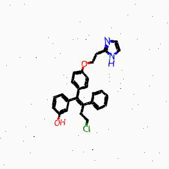 Oc1cccc(/C(=C(\CCCl)c2ccccc2)c2ccc(OCCc3ncc[nH]3)cc2)c1